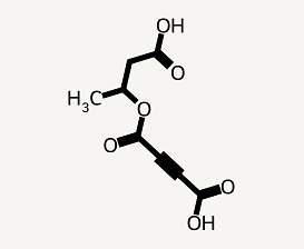 CC(CC(=O)O)OC(=O)C#CC(=O)O